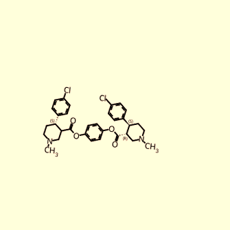 CN1CC[C@H](c2ccc(Cl)cc2)C(C(=O)Oc2ccc(OC(=O)[C@H]3CN(C)CC[C@@H]3c3ccc(Cl)cc3)cc2)C1